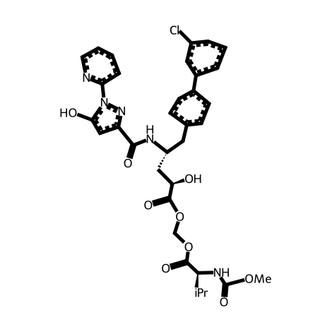 COC(=O)N[C@H](C(=O)OCOC(=O)[C@H](O)C[C@@H](Cc1ccc(-c2cccc(Cl)c2)cc1)NC(=O)c1cc(O)n(-c2ccccn2)n1)C(C)C